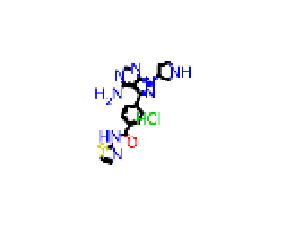 Cl.Nc1ncnc2c1c(-c1ccc(C(=O)Nc3nccs3)cc1)nn2C1CCNC1